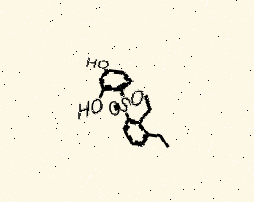 CCc1cccc(S(=O)(=O)c2ccc(O)cc2O)c1CC